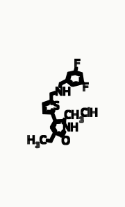 CCc1cc(-c2ccc(CNCc3cc(F)cc(F)c3)s2)c(C)[nH]c1=O.Cl